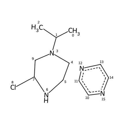 CC(C)N1CCNC(Cl)C1.c1cnccn1